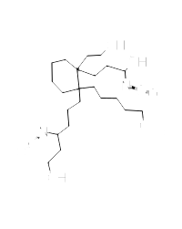 CCCCCCC1(CCCC(CCC)N=C=O)CCCCC1(CCC)CCC(C)N=C=O